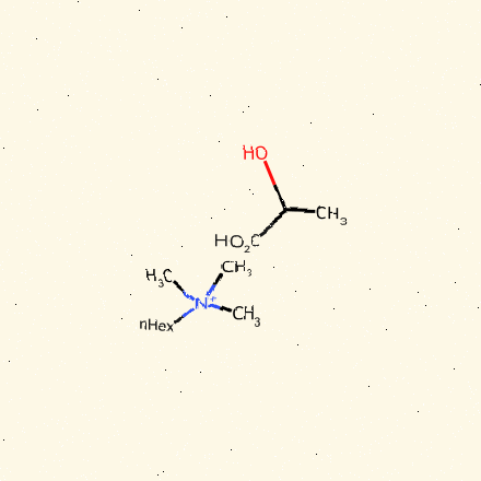 CC(O)C(=O)O.CCCCCC[N+](C)(C)C